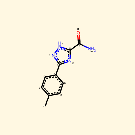 Cc1ccc(-c2n[nH]c(C(N)=O)n2)cc1